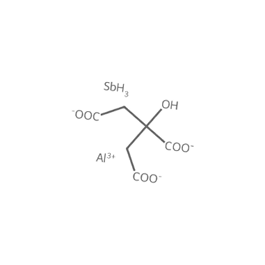 O=C([O-])CC(O)(CC(=O)[O-])C(=O)[O-].[Al+3].[SbH3]